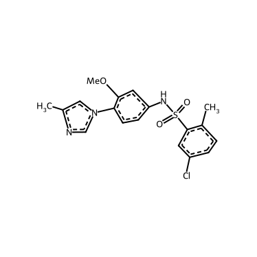 COc1cc(NS(=O)(=O)c2cc(Cl)ccc2C)ccc1-n1cnc(C)c1